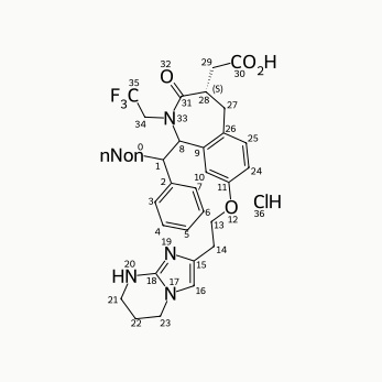 CCCCCCCCCC(c1ccccc1)C1c2cc(OCCc3cn4c(n3)NCCC4)ccc2C[C@@H](CC(=O)O)C(=O)N1CC(F)(F)F.Cl